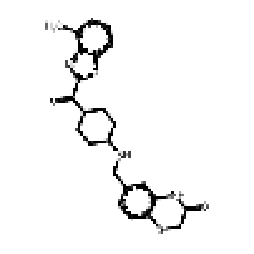 Cc1cccc2sc(C(=O)C3CCC(NCc4ccc5c(c4)NC(=O)CS5)CC3)nc12